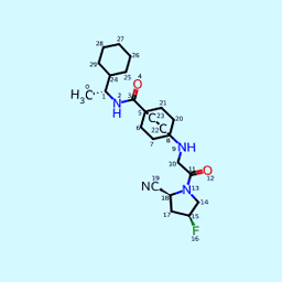 C[C@@H](NC(=O)C12CCC(NCC(=O)N3C[C@@H](F)C[C@H]3C#N)(CC1)CC2)C1CCCCC1